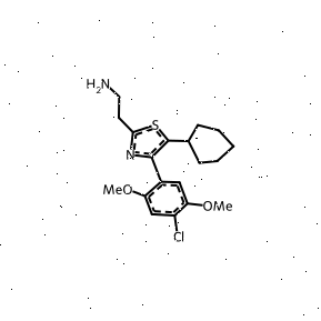 COc1cc(-c2nc(CCN)sc2C2CCCCC2)c(OC)cc1Cl